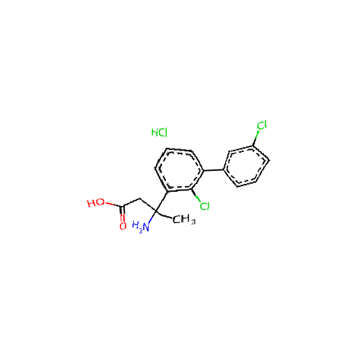 CC(N)(CC(=O)O)c1cccc(-c2cccc(Cl)c2)c1Cl.Cl